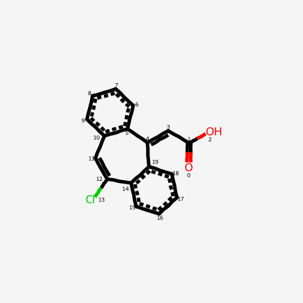 O=C(O)C=C1c2ccccc2C=C(Cl)c2ccccc21